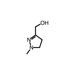 CN1CCC(CO)=N1